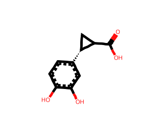 O=C(O)C1C[C@H]1c1ccc(O)c(O)c1